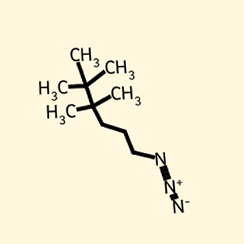 CC(C)(C)C(C)(C)CCCN=[N+]=[N-]